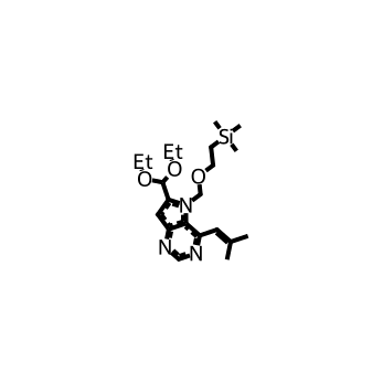 CCOC(OCC)c1cc2ncnc(C=C(C)C)c2n1COCC[Si](C)(C)C